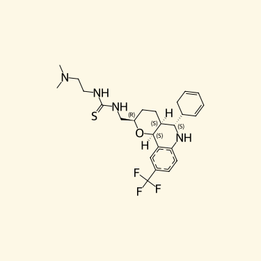 CN(C)CCNC(=S)NC[C@H]1CC[C@@H]2[C@H](O1)c1cc(C(F)(F)F)ccc1N[C@H]2C1C=CC=CC1